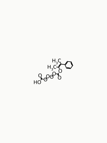 CC(OC(=O)OOOOC(=O)O)=C(C)c1ccccc1